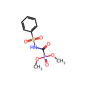 COP(=O)(OC)C(=O)NS(=O)(=O)c1ccccc1